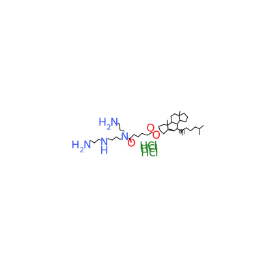 CC(C)CCC[C@@H](C)C1C=C2CC(OC(=O)CCCCC(=O)N(CCCN)CCCCNCCCN)CCC2(C)C2CCC3(C)CCCC3C12.Cl.Cl.Cl